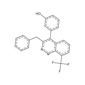 Oc1cccc(-c2c(Cc3ccccc3)nnc3c(C(F)(F)F)cccc23)c1